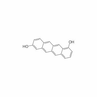 Oc1ccc2cc3cc4c(O)cccc4cc3cc2c1